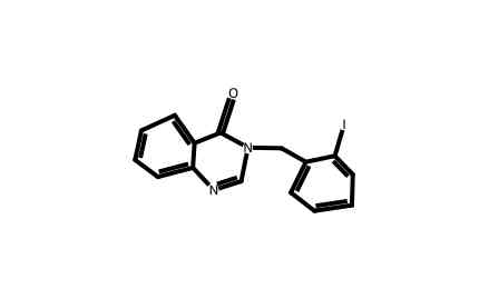 O=c1c2ccccc2ncn1Cc1ccccc1I